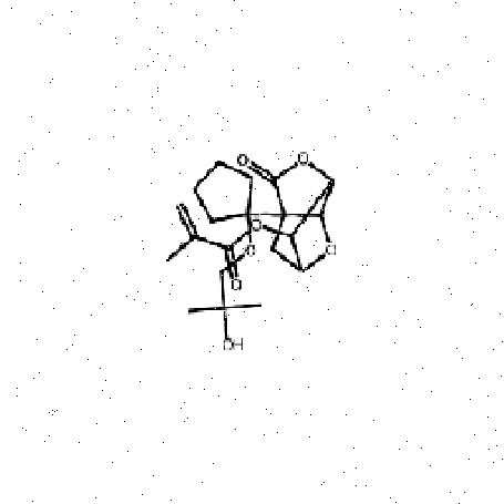 C=C(C)C(=O)OC1C2CC3(C4(OCC(C)(C)O)CCCC4)C(=O)OC1C3O2